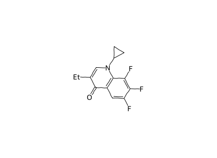 [CH2]Cc1cn(C2CC2)c2c(F)c(F)c(F)cc2c1=O